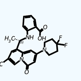 Cc1cc([C@H](C)Nc2ccccc2C(=O)O)c2cc(N3CCC(F)(F)CC3)cc(=O)n2c1